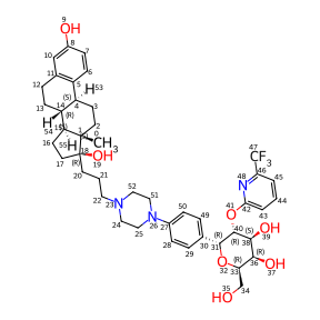 C[C@]12CC[C@@H]3c4ccc(O)cc4CC[C@H]3[C@@H]1CC[C@@]2(O)CCCN1CCN(c2ccc([C@H]3O[C@H](CO)[C@H](O)[C@H](O)[C@H]3Oc3cccc(C(F)(F)F)n3)cc2)CC1